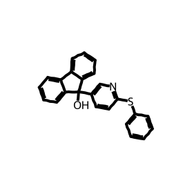 OC1(c2ccc(Sc3ccccc3)nc2)c2ccccc2-c2ccccc21